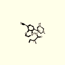 CC[C@H](C)C(=O)N[C@]1(c2ccc(C#N)c3nccnc23)CNC[C@@H](C)C1